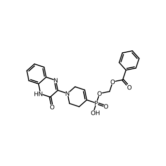 O=C(OCOP(=O)(O)C1=CCN(c2nc3ccccc3[nH]c2=O)CC1)c1ccccc1